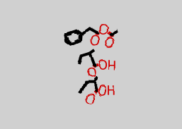 CC(=O)OC(=O)Cc1ccccc1.CCC(C)C(=O)O.CCC(C)C(=O)O